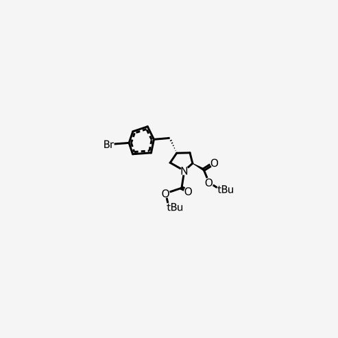 CC(C)(C)OC(=O)[C@@H]1C[C@@H](Cc2ccc(Br)cc2)CN1C(=O)OC(C)(C)C